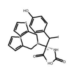 O=C(O)N[C@@](C(=O)I)(C(I)c1ccc(O)cc1)N(Cc1cccs1)Cc1cccs1